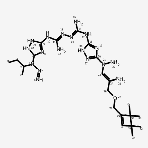 CCC(C)N(N=N)C1N=C(N/C(N)=N/N=C(\N)Nc2nc(N(N)/C=C(\N)COCC3=CC(C)(C)C3(C)C)n[nH]2)NN1